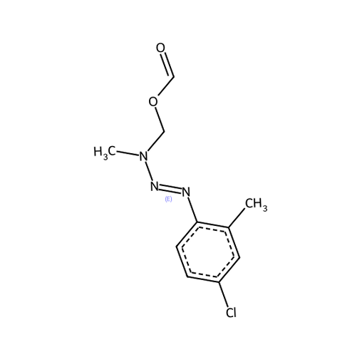 Cc1cc(Cl)ccc1/N=N/N(C)COC=O